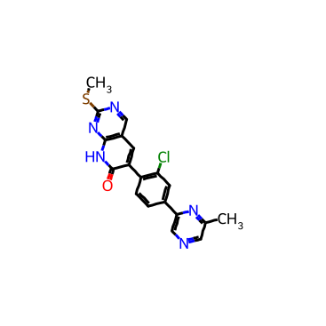 CSc1ncc2cc(-c3ccc(-c4cncc(C)n4)cc3Cl)c(=O)[nH]c2n1